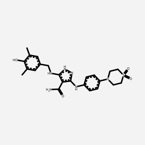 Cc1cc(CNc2[nH]nc(Nc3ccc(N4CCS(=O)(=O)CC4)cc3)c2C(N)=O)cc(C)c1O